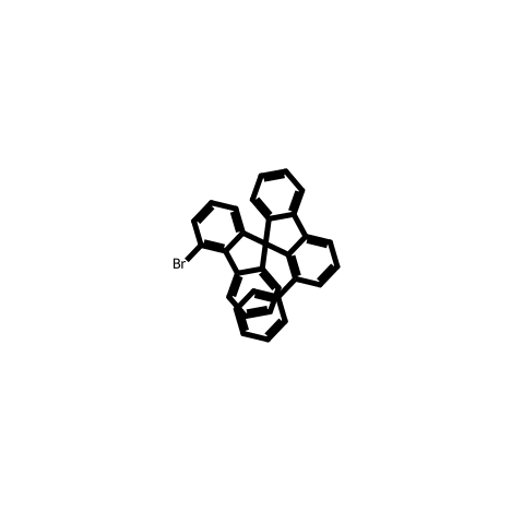 Brc1cccc2c1-c1ccccc1C21c2ccccc2-c2cccc(-c3ccccc3)c21